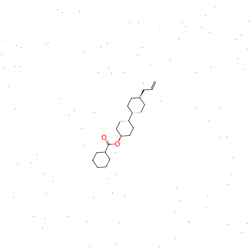 C=CC[C@H]1CC[C@H]([C@H]2CC[C@H](OC(=O)C3CCCCC3)CC2)CC1